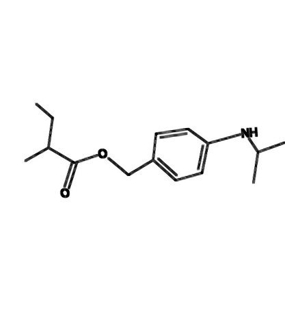 CCC(C)C(=O)OCc1ccc(NC(C)C)cc1